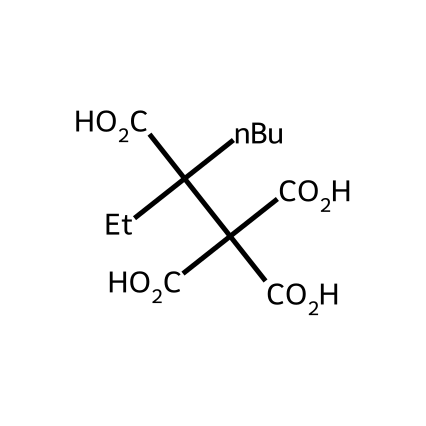 CCCCC(CC)(C(=O)O)C(C(=O)O)(C(=O)O)C(=O)O